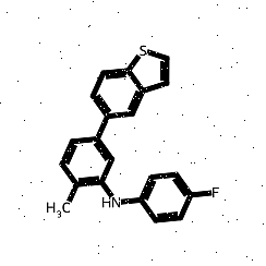 Cc1ccc(-c2ccc3sccc3c2)cc1Nc1ccc(F)cc1